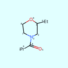 CCC1CN(C(=O)C(C)C)CCO1